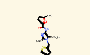 CCOC(=O)c1c(NC(=O)c2ccc(C)o2)nc(SC)n1Cc1cccs1